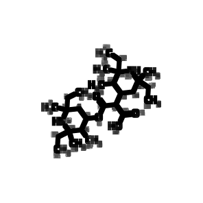 CCC1(C)CC(OC(=O)C(C(=O)O)C2CC(C)(CC)NC(C)(CC)C2C)C(C)C(C)(CC)N1